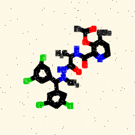 CCC(=O)Oc1c(OC)ccnc1C(=O)N[C@@H](C)C(=O)NN(C)C(c1cc(Cl)cc(Cl)c1)c1cc(Cl)cc(Cl)c1